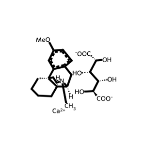 COc1ccc2c(c1)[C@]13CCCC[C@@H]1[C@H](C2)N(C)CC3.O=C([O-])[C@@H](O)[C@@H](O)[C@H](O)[C@@H](O)C(=O)[O-].[Ca+2]